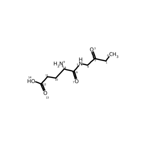 CCC(=O)CNC(=O)[C@@H](N)CCC(=O)O